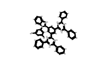 Fc1cc(F)cc(-n2c(-c3cc(-c4nc(-c5ccccc5)nc(-c5ccccc5)n4)cc(-c4nc(-c5ccccc5)nc(-c5ccccc5)n4)c3)nc3ccccc32)c1